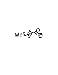 CSCC1CSC(CSC(=O)C2CC3CCC2C3)CS1